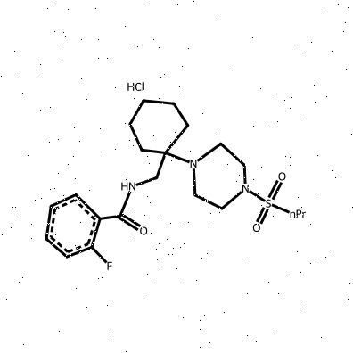 CCCS(=O)(=O)N1CCN(C2(CNC(=O)c3ccccc3F)CCCCC2)CC1.Cl